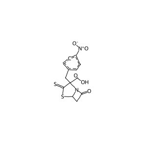 O=C1CC2SC(=S)C(Cc3ccc([N+](=O)[O-])cc3)(C(=O)O)N12